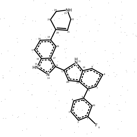 Fc1cccc(-c2cccc3[nH]c(-c4n[nH]c5ccc(C6=CCNCC6)cc45)cc23)c1